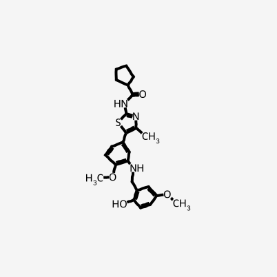 COc1ccc(O)c(CNc2cc(-c3sc(NC(=O)C4CCCC4)nc3C)ccc2OC)c1